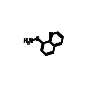 NSc1cccc2cccnc12